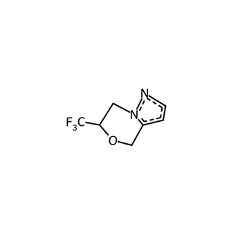 FC(F)(F)C1Cn2nccc2CO1